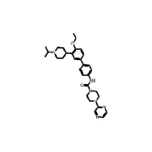 CCOc1ccc(-c2ccc(NC(=O)N3CCN(c4cnccn4)CC3)cc2)cc1C1CCN(C(C)C)CC1